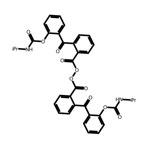 CC(C)NC(=O)Oc1ccccc1C(=O)c1ccccc1C(=O)OOC(=O)c1ccccc1C(=O)c1ccccc1OC(=O)NC(C)C